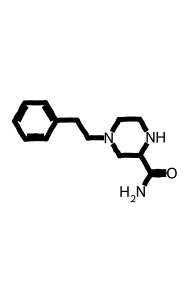 NC(=O)C1CN(CCc2ccccc2)CCN1